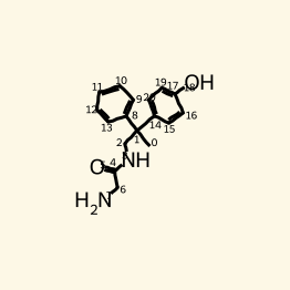 CC(CNC(=O)CN)(c1ccccc1)c1ccc(O)cc1